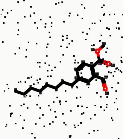 CCCCCCCCc1ccc(C(=O)OC)c(C=O)c1